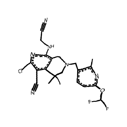 Cc1nc(OC(F)F)ccc1CN1Cc2c(NCC#N)nc(Cl)c(C#N)c2C(C)(C)C1